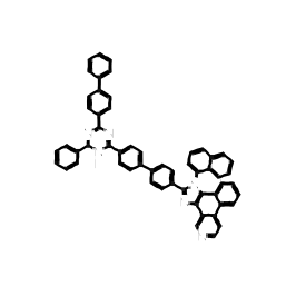 c1ccc(-c2ccc(C3=NC(c4ccccc4)NC(c4ccc(-c5ccc(-c6nc7c8cnccc8c8ccccc8c7n6-c6cccc7ccccc67)cc5)cc4)=N3)cc2)cc1